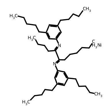 CCCCCCC(=N\c1cc(CCCCC)cc(CCCCC)c1)/C(CCCC)=N/c1cc(CCCCC)cc(CCCCC)c1.[Ni]